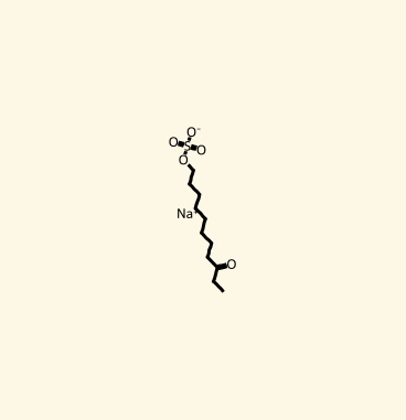 CCC(=O)CCCCCCCCOS(=O)(=O)[O-].[Na+]